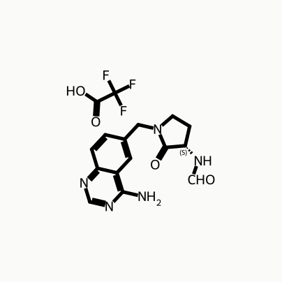 Nc1ncnc2ccc(CN3CC[C@H](NC=O)C3=O)cc12.O=C(O)C(F)(F)F